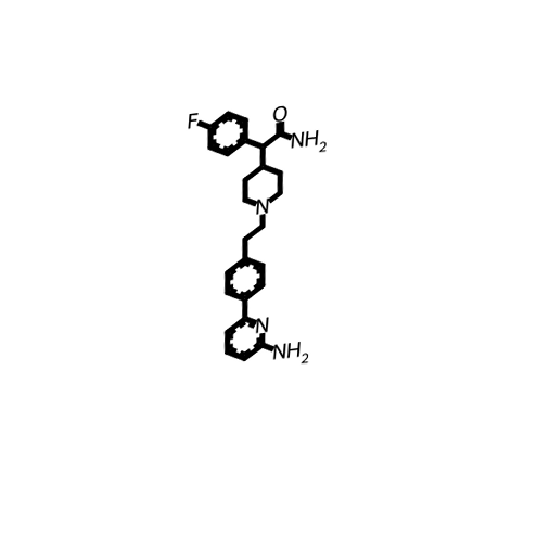 NC(=O)C(c1ccc(F)cc1)C1CCN(CCc2ccc(-c3cccc(N)n3)cc2)CC1